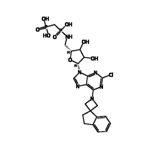 O=P(O)(O)CP(=O)(O)NC[C@H]1O[C@@H](n2cnc3c(N4CC5(CCc6ccccc65)C4)nc(Cl)nc32)C(O)C1O